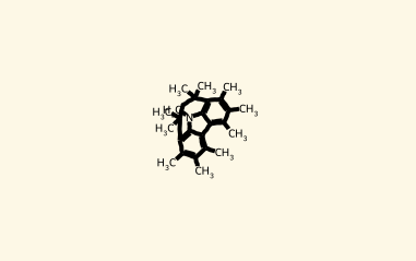 Cc1c(C)c2c3c(c1C)c1c(C)c(C)c(C)c(c1n3C)C(C)(C)CC2(C)C